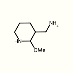 COC1NCCCC1CN